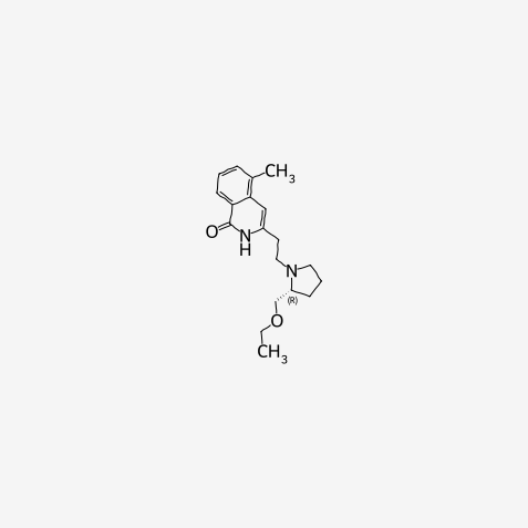 CCOC[C@H]1CCCN1CCc1cc2c(C)cccc2c(=O)[nH]1